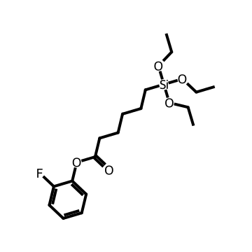 CCO[Si](CCCCCC(=O)Oc1ccccc1F)(OCC)OCC